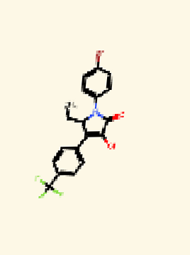 CCC1C(c2ccc(C(F)(F)F)cc2)=C(O)C(=O)N1c1ccc(Br)cc1